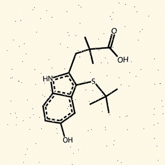 CC(C)(C)Sc1c(CC(C)(C)C(=O)O)[nH]c2ccc(O)cc12